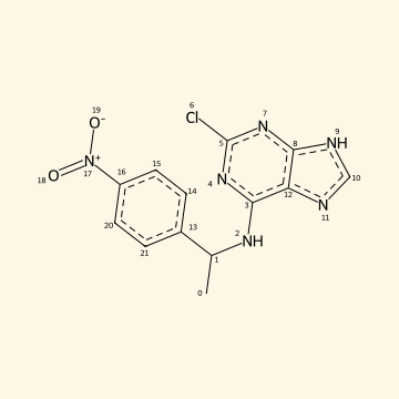 CC(Nc1nc(Cl)nc2[nH]cnc12)c1ccc([N+](=O)[O-])cc1